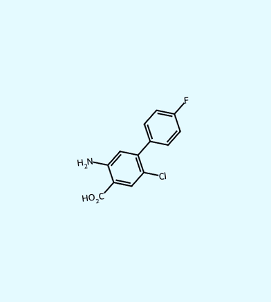 Nc1cc(-c2ccc(F)cc2)c(Cl)cc1C(=O)O